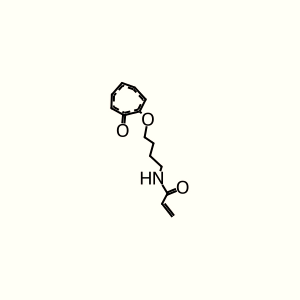 C=CC(=O)NCCCCOc1cccccc1=O